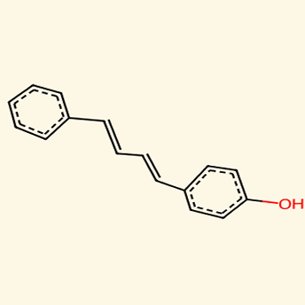 Oc1ccc(/C=C/C=C/c2ccccc2)cc1